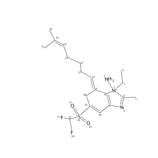 CC[N+]1(N)C(C)=NC2=C1C(=CCCCC=C(C)C)CC(S(=O)(=O)C(F)F)=C2